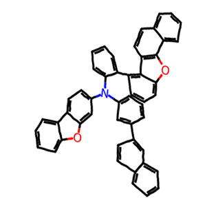 c1cc(-c2ccc3ccccc3c2)cc(N(c2ccc3c(c2)oc2ccccc23)c2ccccc2-c2cccc3oc4c5ccccc5ccc4c23)c1